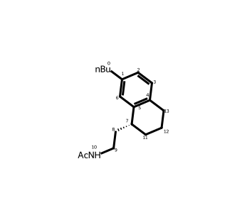 CCCCc1ccc2c(c1)[C@@H](CCNC(C)=O)CCC2